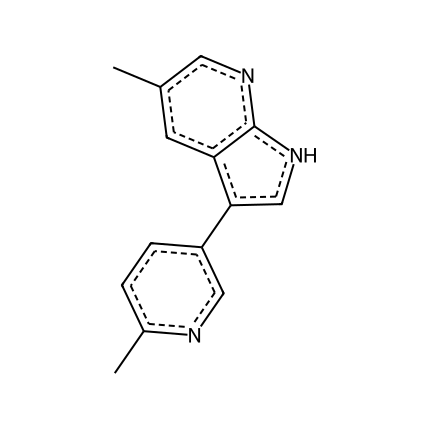 Cc1cnc2[nH]cc(-c3ccc(C)nc3)c2c1